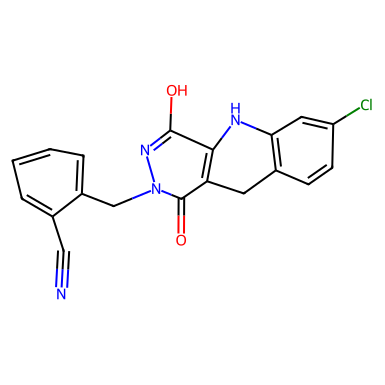 N#Cc1ccccc1Cn1nc(O)c2c(c1=O)Cc1ccc(Cl)cc1N2